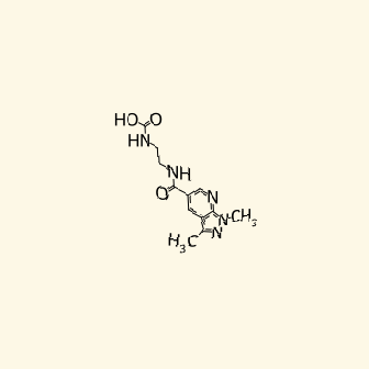 Cc1nn(C)c2ncc(C(=O)NCCNC(=O)O)cc12